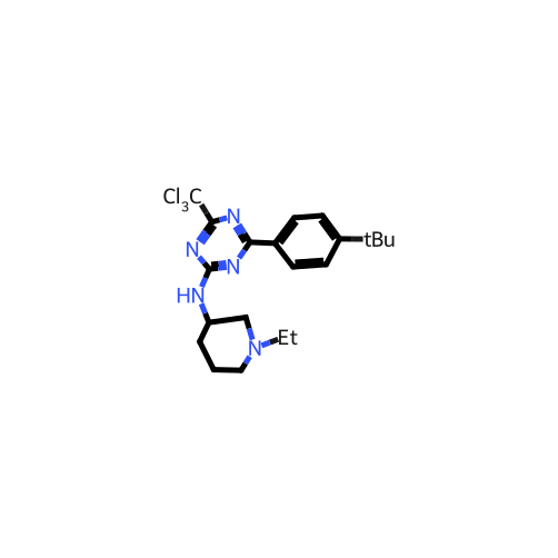 CCN1CCCC(Nc2nc(-c3ccc(C(C)(C)C)cc3)nc(C(Cl)(Cl)Cl)n2)C1